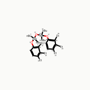 CCC[CH2][Sn]([CH2]CCC)([O]c1ccc(CC)c(CC)c1CC)[O][Sn]([CH2]CCC)([CH2]CCC)[O]c1ccc(CC)c(CC)c1CC